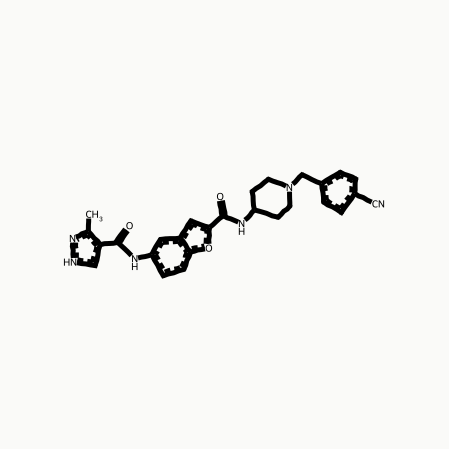 Cc1n[nH]cc1C(=O)Nc1ccc2oc(C(=O)NC3CCN(Cc4ccc(C#N)cc4)CC3)cc2c1